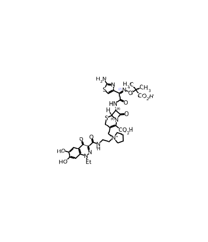 CCn1nc(C(=O)NCC[N+]2(CC3=C(C(=O)O)N4C(=O)[C@@H](NC(=O)/C(=N\OC(C)(C)C(=O)O)c5csc(N)n5)[C@H]4SC3)CCCC2)c(=O)c2cc(O)c(O)cc21